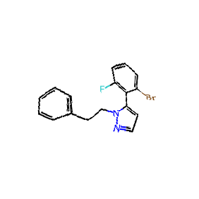 Fc1cccc(Br)c1-c1ccnn1CCc1ccccc1